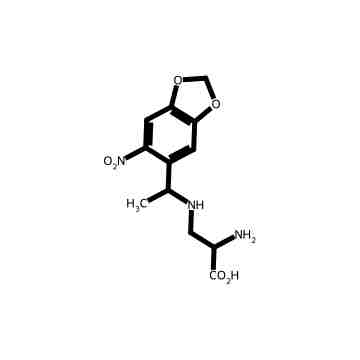 CC(NCC(N)C(=O)O)c1cc2c(cc1[N+](=O)[O-])OCO2